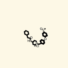 C[S+]([O-])c1ccc(Oc2ccc(CN3CCC(NC(=O)CC4CCCCC4)CC3)cc2)cc1.Cl